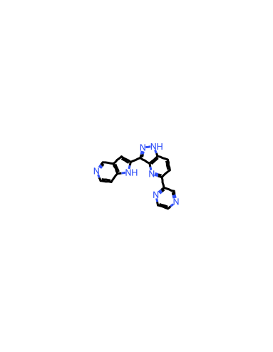 c1cnc(-c2ccc3[nH]nc(-c4cc5cnccc5[nH]4)c3n2)cn1